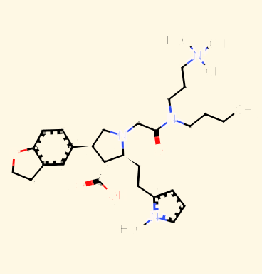 CCCCN(CCC[N+](C)(C)C)C(=O)CN1C[C@H](c2ccc3c(c2)CCO3)[C@@H](C(=O)O)[C@@H]1CCc1cccn1C